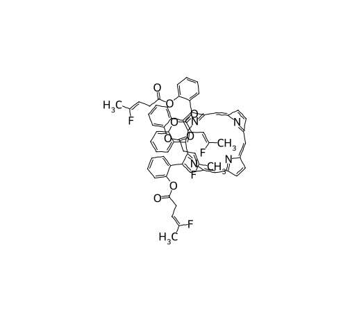 CC(F)=CCC(=O)Oc1ccccc1C1=CC2=CC3=NC(=CC4=NC(=CC5=NC(=C(c6ccccc6OC(=O)CC=C(C)F)C1=N2)C(c1ccccc1OC(=O)CC=C(C)F)=C5c1ccccc1OC(=O)CC=C(C)F)C=C4)C=C3